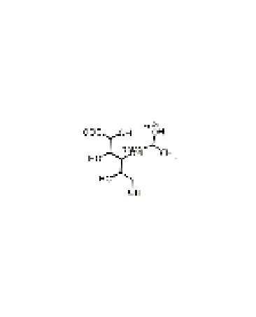 CC(O)C(=O)[O-].O=C([O-])C(O)C(O)C(O)C(O)CO.[Fe+2]